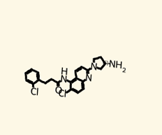 N[C@H]1CCN(c2ccc3c(NC(=O)CCc4ccccc4Cl)c(Cl)ccc3n2)C1